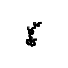 CCOC(=O)CCc1ccc(COc2cccc3c2N(CC)CCC3)cc1F